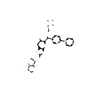 C[Si](C)(C)CCOC(c1ccc(-c2ccccc2)cc1)c1nc2nc(O[C@@H]3CO[C@H]4[C@@H]3OC[C@H]4O)[nH]c2cc1Cl